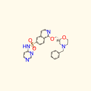 O=S(=O)(Nc1ccncn1)c1ccc2c(OC[C@H]3CN(Cc4ccccc4)CCO3)nccc2c1